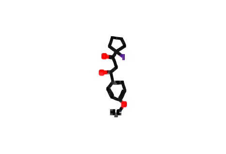 COc1ccc(C(=O)CC(=O)C2(I)CCCC2)cc1